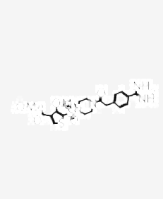 COC(=O)c1csc(S(=O)(=O)N2CCN(C(=O)Cc3ccc(C(=N)N)cc3)CC2)c1OC